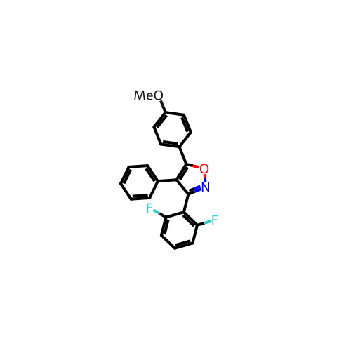 COc1ccc(-c2onc(-c3c(F)cccc3F)c2-c2ccccc2)cc1